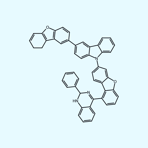 C1=Cc2oc3ccc(-c4ccc5c(c4)c4ccccc4n5-c4ccc5c(c4)oc4cccc(C6=NC(c7ccccc7)Nc7ccccc76)c45)cc3c2CC1